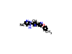 Cc1cc(-c2ccc(O[C@H]3CC[C@@H](C)CC3)nc2)ncc1-c1nc2ncc(C#N)cc2[nH]1